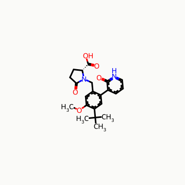 COc1cc(CN2C(=O)CC[C@@H]2C(=O)O)c(-c2ccc[nH]c2=O)cc1C(C)(C)C